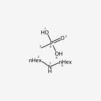 CCCCCCNCCCCCC.CP(=O)(O)O